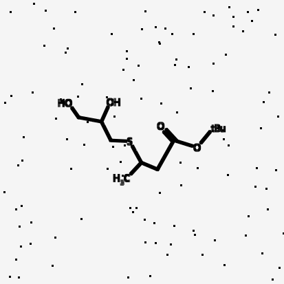 CC(CC(=O)OC(C)(C)C)SCC(O)CO